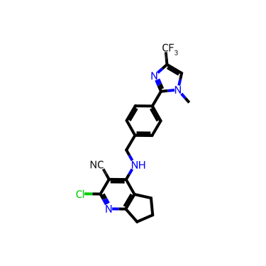 Cn1cc(C(F)(F)F)nc1-c1ccc(CNc2c(C#N)c(Cl)nc3c2CCC3)cc1